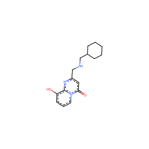 O=c1cc(CNCC2CCCCC2)nc2c(O)cccn12